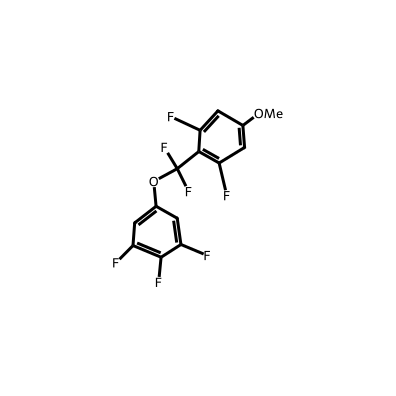 COc1cc(F)c(C(F)(F)Oc2cc(F)c(F)c(F)c2)c(F)c1